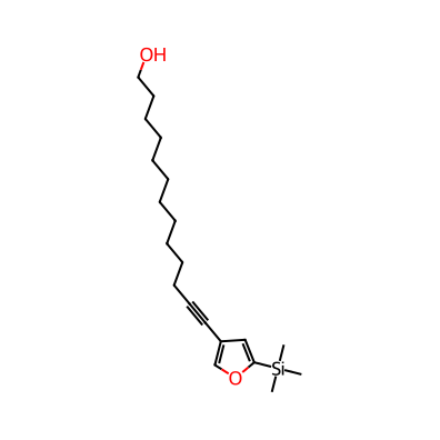 C[Si](C)(C)c1cc(C#CCCCCCCCCCCCO)co1